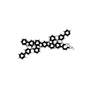 C=C/C=C\c1c(C)oc2c(N(c3ccc(-c4ccccc4)cc3)c3cccc4c3c3cccc5c6cc7c(cc6n4c53)c3cccc4c5c(N(c6ccc(-c8ccccc8)cc6)c6cccc8c6oc6ccccc68)cccc5n7c34)cccc12